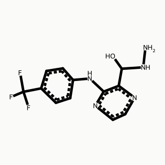 NNC(O)c1nccnc1Nc1ccc(C(F)(F)F)cc1